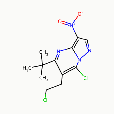 CC(C)(C)c1nc2c([N+](=O)[O-])cnn2c(Cl)c1CCCl